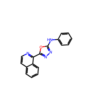 c1ccc(Nc2nnc(-c3nccc4ccccc34)o2)cc1